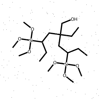 CCC(CC(CC)(CO)CC(CC)[Si](OC)(OC)OC)[Si](OC)(OC)OC